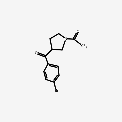 O=C(c1ccc(Br)cc1)C1CCN(C(=O)C(F)(F)F)C1